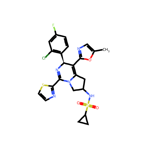 Cc1cnc(C2=C3CC(NS(=O)(=O)C4CC4)CN3C(c3nccs3)=N[C@H]2c2ccc(F)cc2Cl)o1